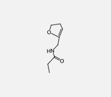 CCC(=O)NCC1=CCCO1